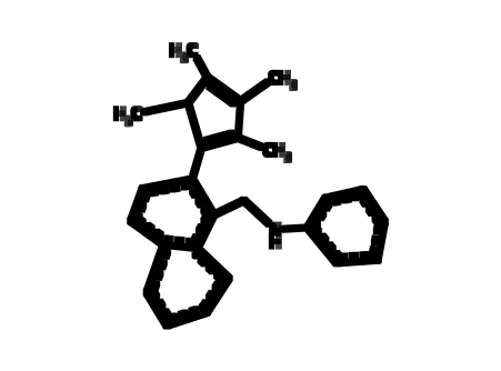 CC1=C(C)C(C)C(c2ccc3ccccc3c2CNc2ccccc2)=C1C